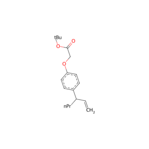 C=CC(CCC)c1ccc(OCC(=O)OC(C)(C)C)cc1